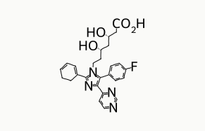 O=C(O)C[C@@H](O)C[C@@H](O)CCn1c(C2=CC=CCC2)nc(-c2ccncn2)c1-c1ccc(F)cc1